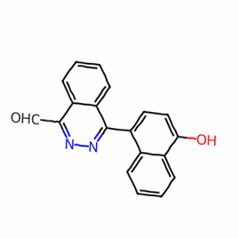 O=Cc1nnc(-c2ccc(O)c3ccccc23)c2ccccc12